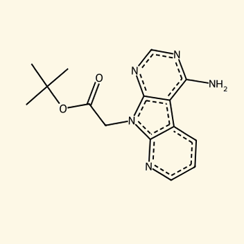 CC(C)(C)OC(=O)Cn1c2ncccc2c2c(N)ncnc21